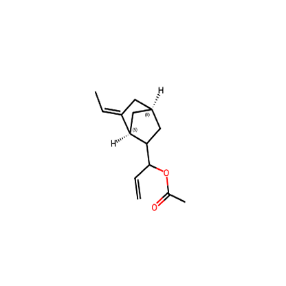 C=CC(OC(C)=O)C1C[C@@H]2CC(=CC)[C@H]1C2